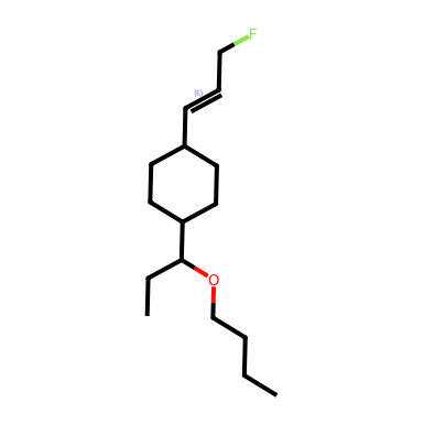 CCCCOC(CC)C1CCC(/C=C/CF)CC1